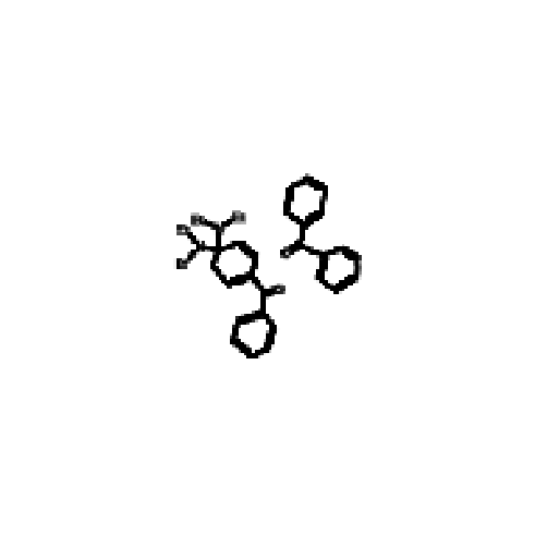 CCN(CC)C1(N(CC)CC)C=CC(C(=O)c2ccccc2)=CC1.O=C(c1ccccc1)c1ccccc1